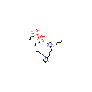 C=CCS(=O)(=O)O.C=CCS(=O)(=O)O.CCCCn1ccnc1CCCc1nccn1CCCC